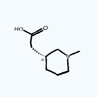 CN1CCC[C@H](CC(=O)O)C1